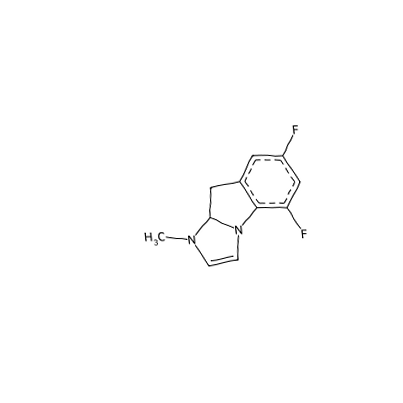 CN1C=CN2c3c(F)cc(F)cc3CC12